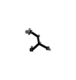 [CH2]CC(Cl)Cl